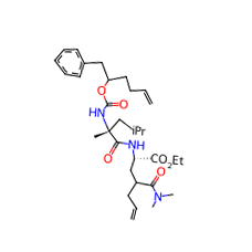 C=CCCC(Cc1ccccc1)OC(=O)N[C@](C)(CC(C)C)C(=O)N[C@@H](CC(CC=C)C(=O)N(C)C)C(=O)OCC